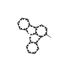 CC(C)(C)c1ccc2c3ccccc3n3c4ccccc4c1c23